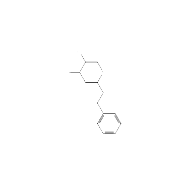 OC1CNC(CCc2ccccc2)CC1O